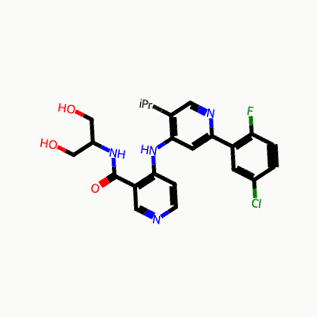 CC(C)c1cnc(-c2cc(Cl)c#cc2F)cc1Nc1ccncc1C(=O)NC(CO)CO